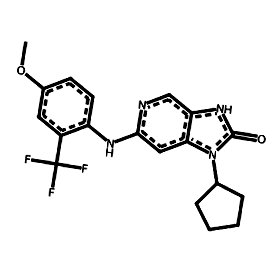 COc1ccc(Nc2cc3c(cn2)[nH]c(=O)n3C2CCCC2)c(C(F)(F)F)c1